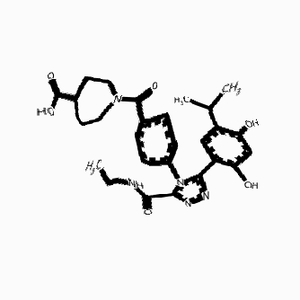 CCNC(=O)c1nnc(-c2cc(C(C)C)c(O)cc2O)n1-c1ccc(C(=O)N2CCC(C(=O)O)CC2)cc1